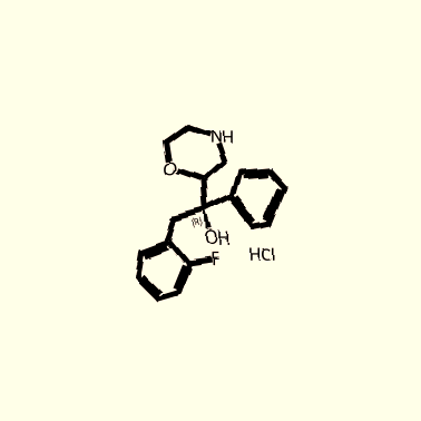 Cl.O[C@](Cc1ccccc1F)(c1ccccc1)C1CNCCO1